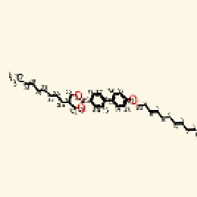 C=CCCCCCCCCCOc1ccc(-c2ccc([C@H]3OC[C@H](CCCCCCCC)CO3)cc2)cc1